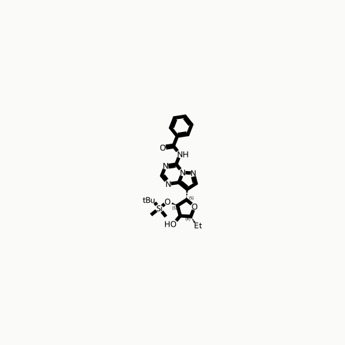 CC[C@H]1O[C@@H](c2cnn3c(NC(=O)c4ccccc4)ncnc23)[C@@H](O[Si](C)(C)C(C)(C)C)C1O